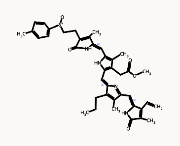 C=CC1=C(C)C(=O)N/C1=C\C1=NC(=C\c2[nH]c(/C=C3\NC(=O)C(CC[S+]([O-])c4ccc(C)cc4)=C3C)c(C)c2CC(=O)OC)/C(CCC)=C1C